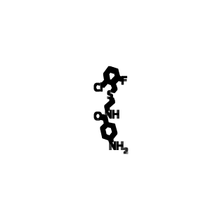 NC1CCC(C(=O)NCCSCc2c(F)cccc2Cl)CC1